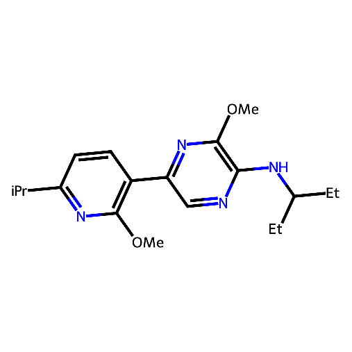 CCC(CC)Nc1ncc(-c2ccc(C(C)C)nc2OC)nc1OC